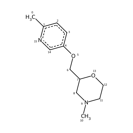 Cc1ccc(OCC2CN(C)CCO2)cn1